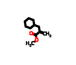 C=C(CC1CCCCC1)C(=O)OC